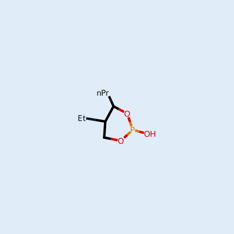 CCCC1OP(O)OCC1CC